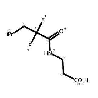 CC(C)CC(F)(F)C(=O)NCCC(=O)O